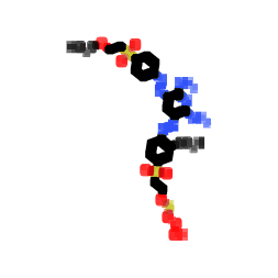 Nc1nc(N)c(/N=N/c2ccc(S(=O)(=O)CCOSOOO)cc2S(=O)(=O)O)cc1/N=N/c1ccc(S(=O)(=O)CCOS(=O)(=O)O)cc1